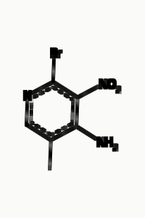 Cc1cnc(Br)c([N+](=O)[O-])c1N